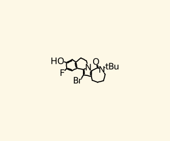 CC(C)(C)N1CCCCc2c(Br)c3n(c2C1=O)CCc1cc(O)c(F)cc1-3